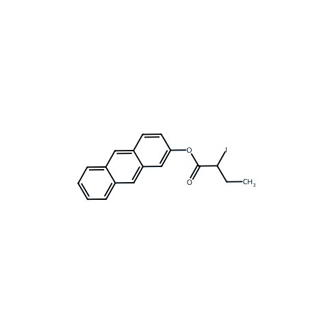 CCC(I)C(=O)Oc1ccc2cc3ccccc3cc2c1